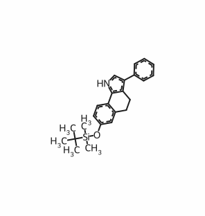 CC(C)(C)[Si](C)(C)Oc1ccc2c(c1)CCc1c(-c3ccccc3)c[nH]c1-2